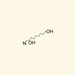 CN(C)CC(O)CCCCCCCO